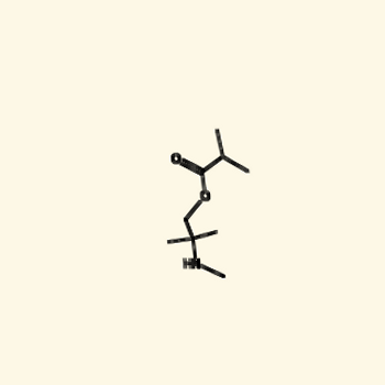 CNC(C)(C)COC(=O)C(C)C